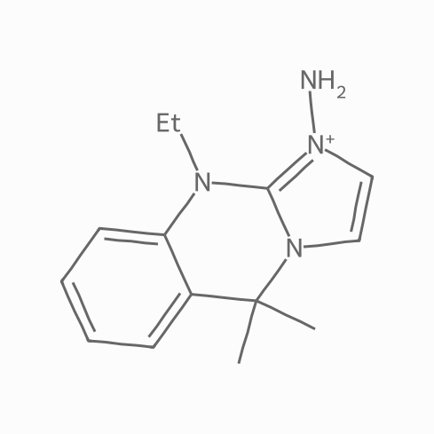 CCN1c2ccccc2C(C)(C)n2cc[n+](N)c21